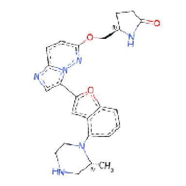 C[C@@H]1CNCCN1c1cccc2oc(-c3cnc4ccc(OC[C@H]5CCC(=O)N5)nn34)cc12